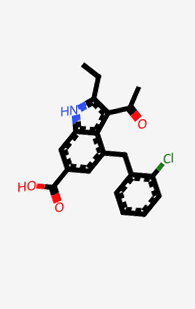 CCc1[nH]c2cc(C(=O)O)cc(Cc3ccccc3Cl)c2c1C(C)=O